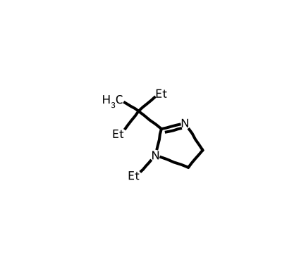 CCN1CCN=C1C(C)(CC)CC